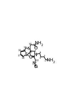 NCCCCN(CC(=O)N(CC(N)=O)Cc1cccs1)C(=O)CN=O